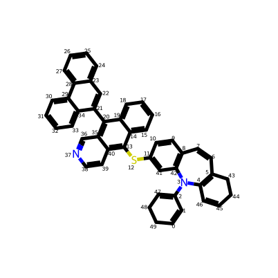 C1=CC(N2C3=C(C=Cc4ccc(Sc5c6ccccc6c(-c6cc7ccccc7c7ccccc67)c6cnccc56)cc42)CCC=C3)=CCC1